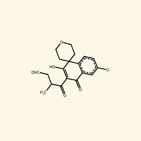 CC(CC=O)C(=O)C1=C(O)C2(CCOCC2)c2ccc(Cl)cc2C1=O